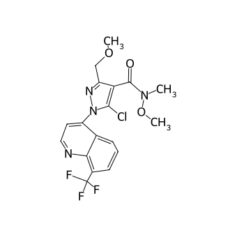 COCc1nn(-c2ccnc3c(C(F)(F)F)cccc23)c(Cl)c1C(=O)N(C)OC